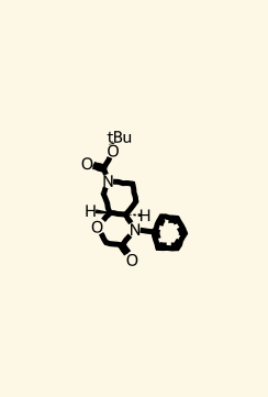 CC(C)(C)OC(=O)N1CC[C@@H]2[C@@H](C1)OCC(=O)N2c1ccccc1